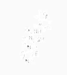 O=C(NCc1cccc2c1CCO2)N1CCN(c2ccncc2F)CC1S